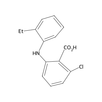 CCc1ccccc1Nc1cccc(Cl)c1C(=O)O